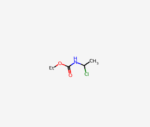 CCOC(=O)NC(C)Cl